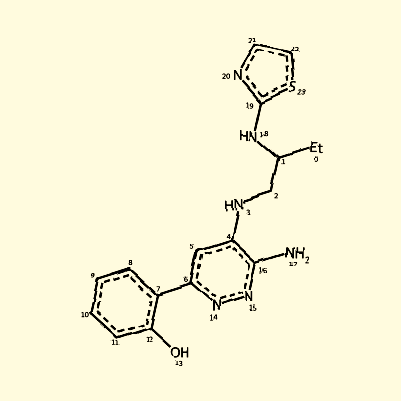 CCC(CNc1cc(-c2ccccc2O)nnc1N)Nc1nccs1